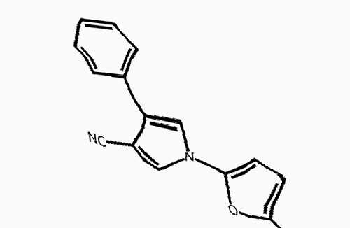 N#Cc1cn(-c2ccc(C=O)o2)cc1-c1ccccc1